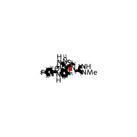 CN/C=C(\C=N)CN1CC[C@]2(C1)SN(C)C(=N)N[C@]2(C)c1cc(NC(=O)c2ccc(F)cn2)ccc1F